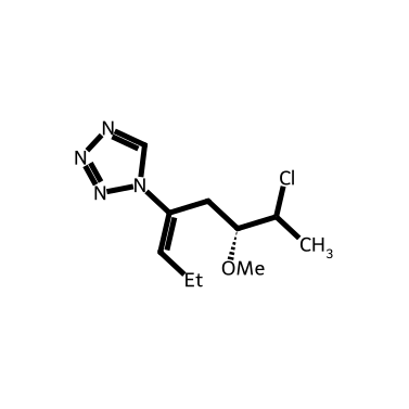 CC/C=C(\C[C@@H](OC)C(C)Cl)n1cnnn1